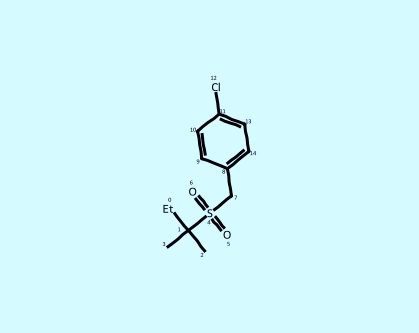 CCC(C)(C)S(=O)(=O)Cc1ccc(Cl)cc1